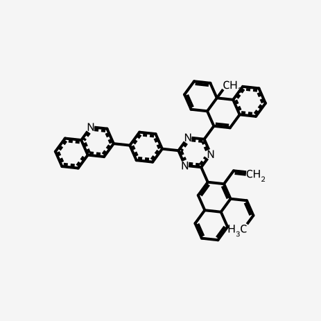 C=CC1=C(/C=C\C)C2C=CC=CC2C=C1c1nc(C2=Cc3ccccc3C3(C)C=CC=CC23)nc(-c2ccc(-c3cnc4ccccc4c3)cc2)n1